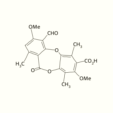 COc1cc(C)c2c(c1C=O)Oc1c(C)c(C(=O)O)c(OC)c(C)c1OC2=O